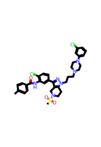 Cc1ccc(C(=O)Nc2cc(-c3nn(CCCN4CCN(c5cccc(Cl)c5)CC4)c4c3CN(S(C)(=O)=O)CC4)ccc2Cl)cc1